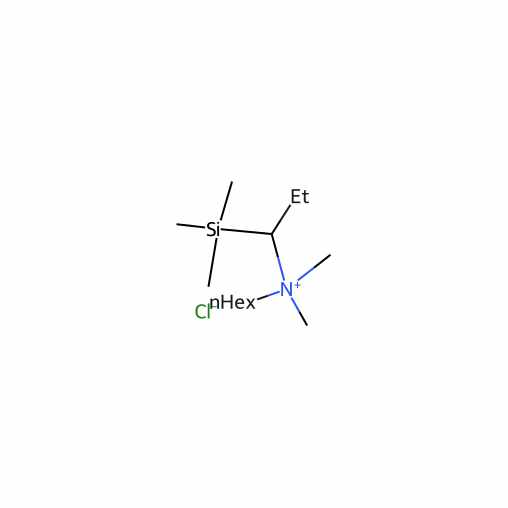 CCCCCC[N+](C)(C)C(CC)[Si](C)(C)C.[Cl-]